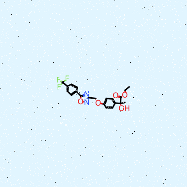 CCOC(=O)C(C)(O)c1ccc(OCc2noc(-c3ccc(C(F)(F)F)cc3)n2)cc1